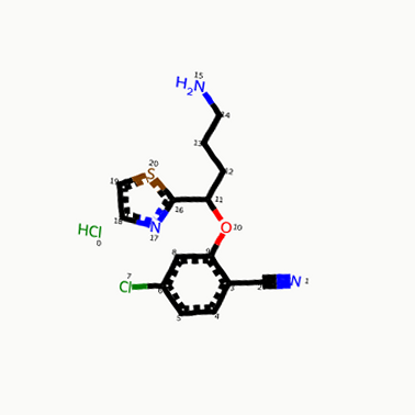 Cl.N#Cc1ccc(Cl)cc1OC(CCCN)c1nccs1